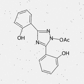 CC(=O)On1nc(-c2ccccc2O)nc1-c1ccccc1O